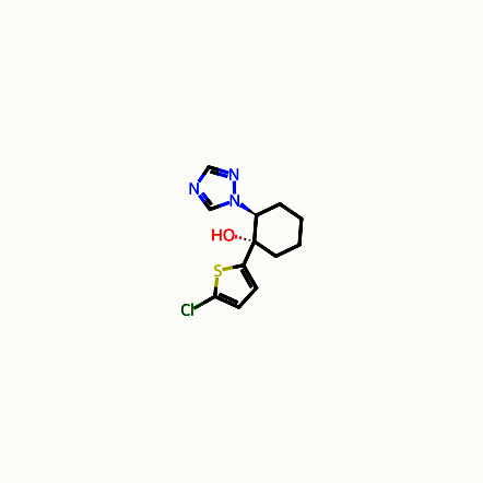 O[C@@]1(c2ccc(Cl)s2)CCCC[C@@H]1n1cncn1